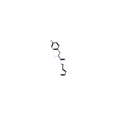 Cc1ccc(C[C@H](N)c2csc(-c3cccs3)n2)cc1